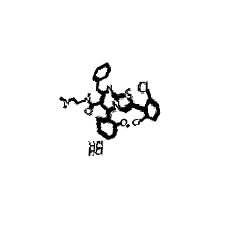 COc1ccccc1C1C(C(=O)N(C)CCN(C)C)=C(Cc2ccccc2)N=C2SC(c3c(Cl)cccc3Cl)=CN21.Cl.Cl